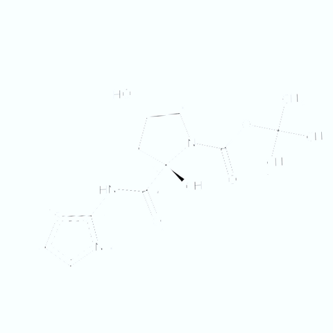 CC(C)(C)OC(=O)N1C[C@@H](O)C[C@@]1(C)C(=O)Nc1nccs1